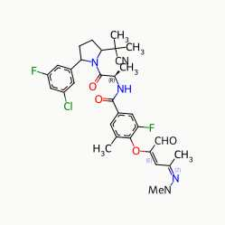 CN/N=C(C)\C=C(/C=O)Oc1c(C)cc(C(=O)N[C@H](C)C(=O)N2C(c3cc(F)cc(Cl)c3)CCC2C(C)(C)C#N)cc1F